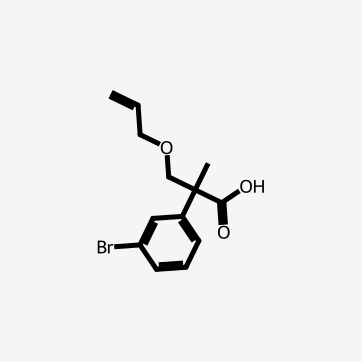 C=CCOCC(C)(C(=O)O)c1cccc(Br)c1